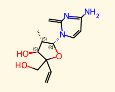 C=CC1(CO)O[C@@H](N2C=CC(N)=NC2=C)[C@@H](C)[C@@H]1O